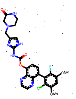 COc1cc(OC)c(Cl)c(-c2ccc(OC(=O)Nc3nc(CN4CCNC(=O)C4)c[nH]3)c3nccnc23)c1F